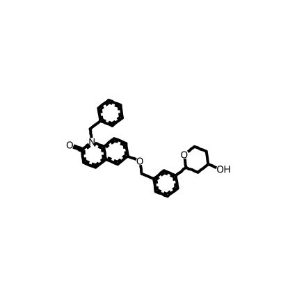 O=c1ccc2cc(OCc3cccc(C4CC(O)CCO4)c3)ccc2n1Cc1ccccc1